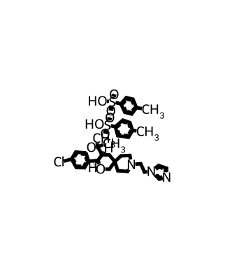 CC1(C)Oc2cc(Cl)ccc2[C@@H]2OCC3(CCN(CCn4ccnc4)CC3)C[C@H]21.Cc1ccc(S(=O)(=O)O)cc1.Cc1ccc(S(=O)(=O)O)cc1